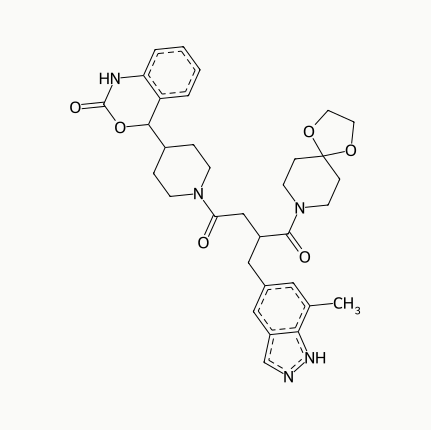 Cc1cc(CC(CC(=O)N2CCC(C3OC(=O)Nc4ccccc43)CC2)C(=O)N2CCC3(CC2)OCCO3)cc2cn[nH]c12